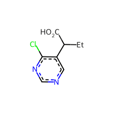 CCC(C(=O)O)c1cncnc1Cl